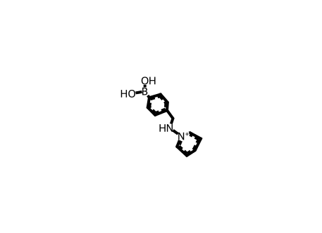 OB(O)c1ccc(CN[n+]2ccccc2)cc1